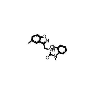 Cc1ccc2onc(CNC(=O)N(C)c3ccccc3Cl)c2c1